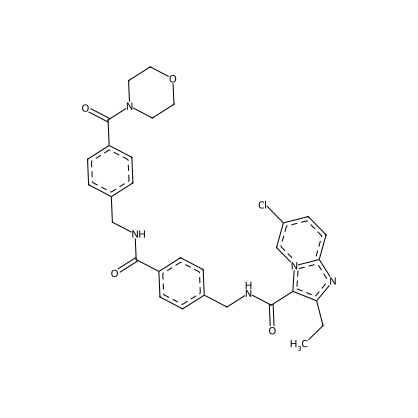 CCc1nc2ccc(Cl)cn2c1C(=O)NCc1ccc(C(=O)NCc2ccc(C(=O)N3CCOCC3)cc2)cc1